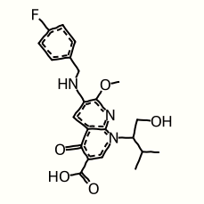 COc1nc2c(cc1NCc1ccc(F)cc1)c(=O)c(C(=O)O)cn2C(CO)C(C)C